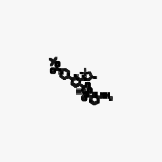 CC1CN(c2nc(C3=CCN(C(=O)OC(C)(C)C)CC3)ccc2C(=O)NS(=O)(=O)c2cccc(N)n2)C(C)(C)C1